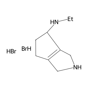 Br.Br.CCNC1CCC2=C1CNC2